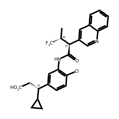 C[C@H]([C@H](C(=O)Nc1cc([C@@H](CC(=O)O)C2CC2)ccc1Cl)c1cnc2ccccc2c1)C(F)(F)F